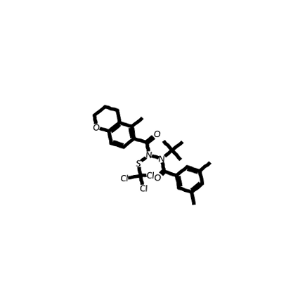 Cc1cc(C)cc(C(=O)N(N(SC(Cl)(Cl)Cl)C(=O)c2ccc3c(c2C)CCCO3)C(C)(C)C)c1